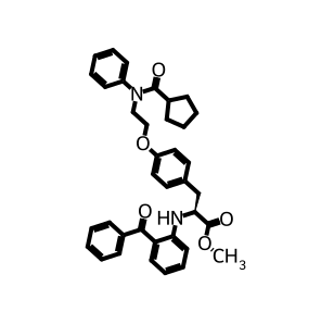 COC(=O)[C@H](Cc1ccc(OCCN(C(=O)C2CCCC2)c2ccccc2)cc1)Nc1ccccc1C(=O)c1ccccc1